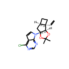 C=C[C@@]12CC[C@@H]1C[C@@]1(n3ccc4c(Cl)ncnc43)OC(C)(C)O[C@H]21